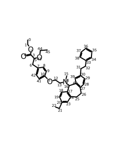 CCOC(=O)C(Cc1ccc(OCCN(C)C2c3ccc(CC)cc3CCc3ccc(CCc4ccccc4)cc32)cc1)OCC